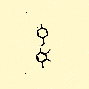 Cc1ccc(OCC2CCC(I)CC2)c(F)c1F